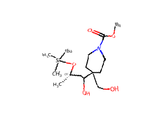 C[C@H](O[Si](C)(C)C(C)(C)C)C(O)C1(CO)CCN(C(=O)OC(C)(C)C)CC1